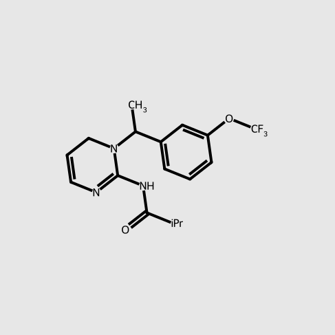 CC(C)C(=O)NC1=NC=CCN1C(C)c1cccc(OC(F)(F)F)c1